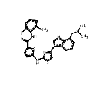 CN(C)Cc1cccn2c(-c3csc(Nc4ccc(C(=O)Nc5c(N)cccc5F)s4)n3)cnc12